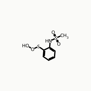 CS(=O)(=O)Nc1ccccc1SOO